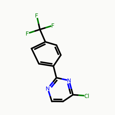 FC(F)(F)c1ccc(-c2nccc(Cl)n2)cc1